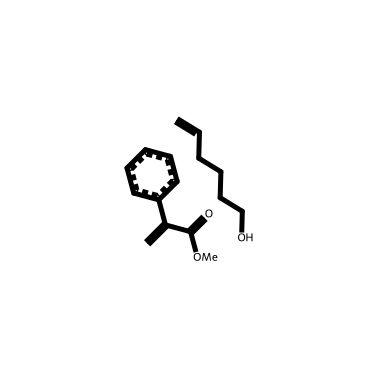 C=C(C(=O)OC)c1ccccc1.C=CCCCCO